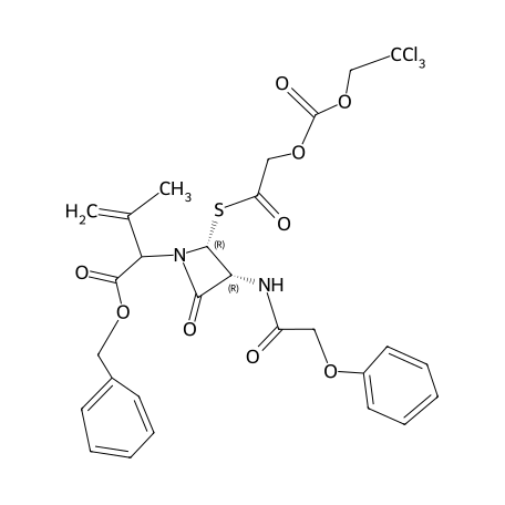 C=C(C)C(C(=O)OCc1ccccc1)N1C(=O)[C@@H](NC(=O)COc2ccccc2)[C@H]1SC(=O)COC(=O)OCC(Cl)(Cl)Cl